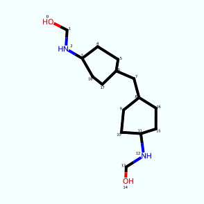 OCNC1CCC(CC2CCC(NCO)CC2)CC1